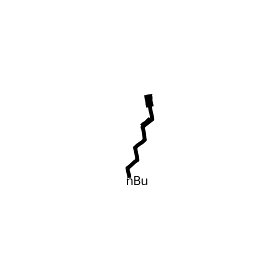 [C]#CC=CCCCCCCCC